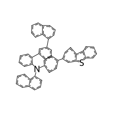 c1cc(-c2ccccc2N(c2ccc(-c3ccc4c(c3)sc3ccccc34)cc2)c2cccc3ccccc23)cc(-c2cccc3ccccc23)c1